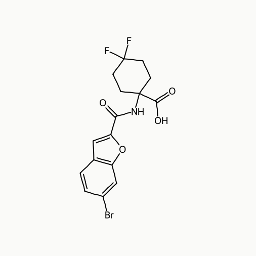 O=C(NC1(C(=O)O)CCC(F)(F)CC1)c1cc2ccc(Br)cc2o1